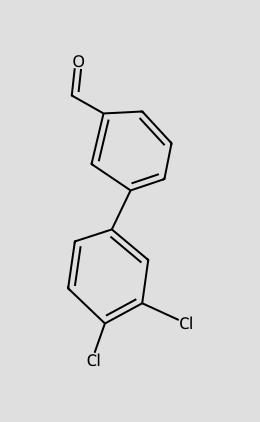 O=Cc1cccc(-c2ccc(Cl)c(Cl)c2)c1